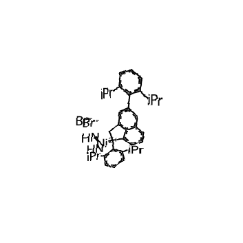 CC(C)c1cccc(C(C)C)c1-c1cc2c3c(cccc3c1)[C](c1c(C(C)C)cccc1C(C)C)([Ni+2](=[NH])=[NH])C2.[Br-].[Br-]